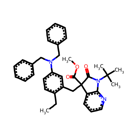 CCc1ccc(N(Cc2ccccc2)Cc2ccccc2)cc1CC1(C(=O)OC)C(=O)N(C(C)(C)C)c2ncccc21